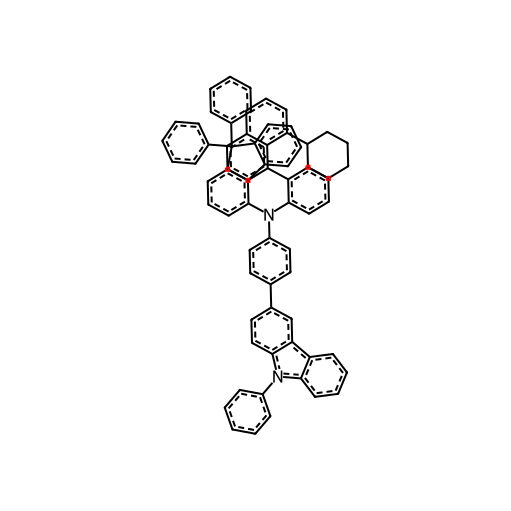 c1ccc(-n2c3ccccc3c3cc(-c4ccc(N(c5ccccc5-c5cccc6cccc(C7CCCCC7)c56)c5cccc6c5-c5ccccc5C6(c5ccccc5)c5ccccc5)cc4)ccc32)cc1